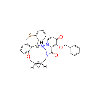 O=C1c2c(OCc3ccccc3)c(=O)ccn2N2CN1C[C@@H]1C[C@H]1COc1cccc3c1[C@H]2c1ccccc1SC3